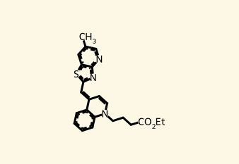 CCOC(=O)CCCN1C=CC(=Cc2nc3ncc(C)cc3s2)c2ccccc21